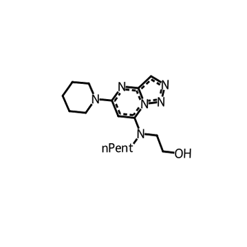 CCCCCN(CCO)c1cc(N2CCCCC2)nc2cnnn12